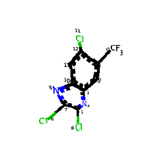 FC(F)(F)c1cc2nc(Cl)c(Cl)nc2cc1Cl